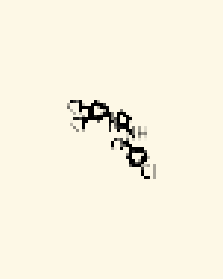 O=C(NC1=NN(c2ccc(Cl)c(Cl)c2)CC1)c1ccc(Cl)cc1